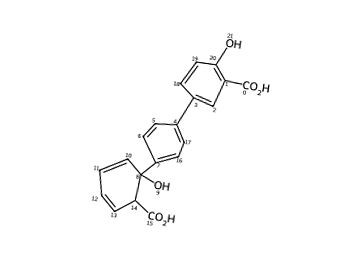 O=C(O)c1cc(-c2ccc(C3(O)C=CC=CC3C(=O)O)cc2)ccc1O